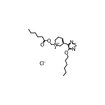 CCCCCCOc1nsnc1C1=CCC[N+](C)(COC(=O)CCCCC)C1.[Cl-]